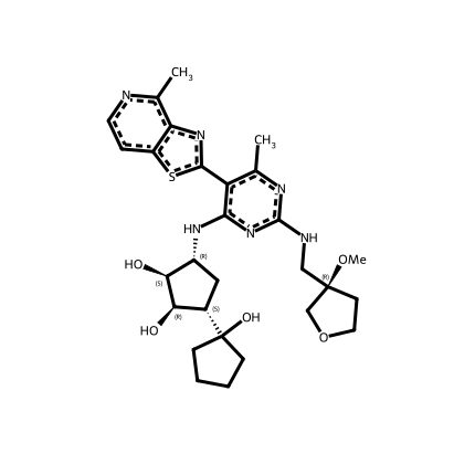 CO[C@@]1(CNc2nc(C)c(-c3nc4c(C)nccc4s3)c(N[C@@H]3C[C@H](C4(O)CCCC4)[C@@H](O)[C@H]3O)n2)CCOC1